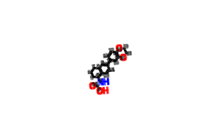 O=C(O)NC1CCCc2cc(-c3ccc4c(c3)OCCO4)ccc21